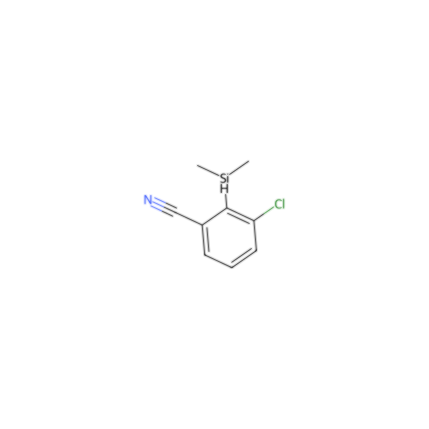 C[SiH](C)c1c(Cl)cccc1C#N